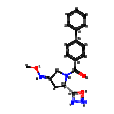 CON=C1C[C@@H](c2n[nH]o2)N(C(=O)c2ccc(-c3ccccc3)cc2)C1